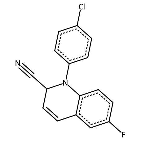 N#CC1C=Cc2cc(F)ccc2N1c1ccc(Cl)cc1